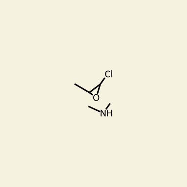 CC1OC1Cl.CNC